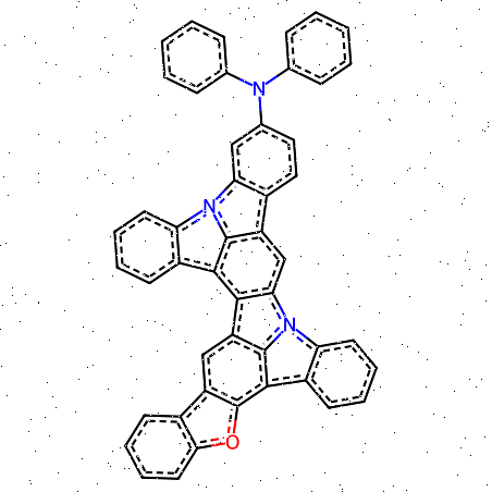 c1ccc(N(c2ccccc2)c2ccc3c4cc5c(c6cc7c8ccccc8oc7c7c8ccccc8n5c67)c5c6ccccc6n(c3c2)c45)cc1